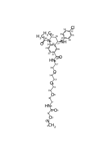 C=NOCC(=O)NCCOCCOCCOCCNC(=O)c1ccc2c(c1)[C@H](Nc1ccc(Cl)cc1)C[C@H](C)N2C(C)=O